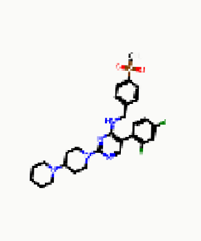 CS(=O)(=O)c1ccc(CNc2nc(N3CCC(N4CCCCC4)CC3)ncc2-c2ccc(F)cc2F)cc1